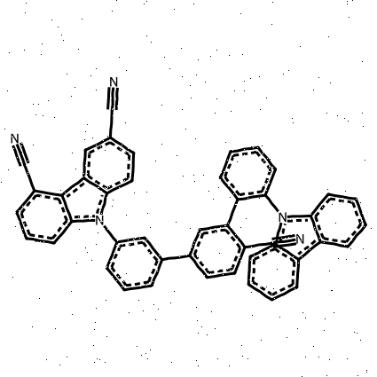 N#Cc1ccc2c(c1)c1c(C#N)cccc1n2-c1cccc(-c2ccc(C#N)c(-c3ccccc3-n3c4ccccc4c4ccccc43)c2)c1